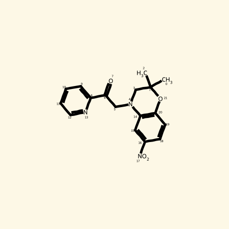 CC1(C)CN(CC(=O)c2ccccn2)c2cc([N+](=O)[O-])ccc2O1